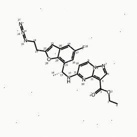 CCOC(=O)c1cnn2ccc(N[C@H](C)c3cc(F)cc4cc(CCN=[N+]=[N-])oc34)nc12